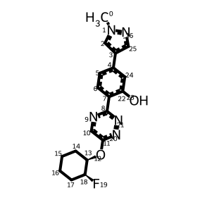 Cn1cc(-c2ccc(-c3ncc(O[C@@H]4CCCC[C@@H]4F)nn3)c(O)c2)cn1